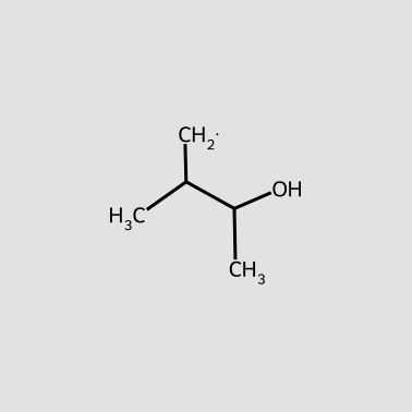 [CH2]C(C)C(C)O